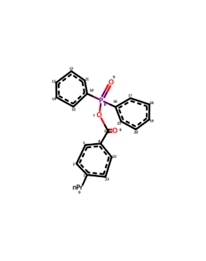 CCCc1ccc(C(=O)OP(=O)(c2ccccc2)c2ccccc2)cc1